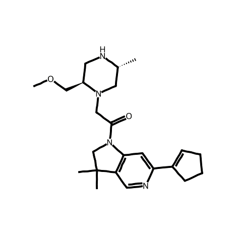 COC[C@H]1CN[C@H](C)CN1CC(=O)N1CC(C)(C)c2cnc(C3=CCCC3)cc21